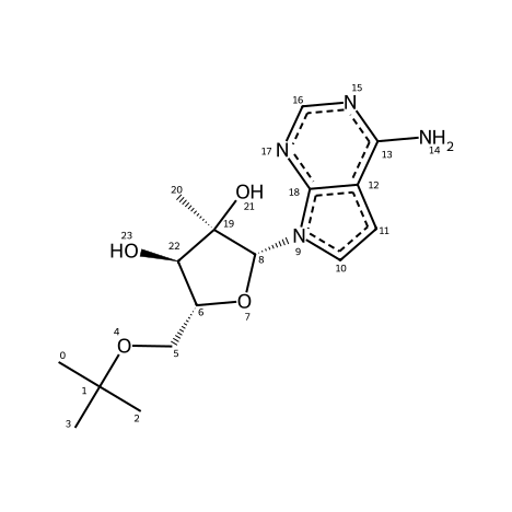 CC(C)(C)OC[C@H]1O[C@@H](n2ccc3c(N)ncnc32)[C@](C)(O)[C@@H]1O